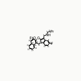 CCOC(=O)c1c(CNCC(C)C)c2cc(F)ccc2n1Cc1cccc2ccccc12